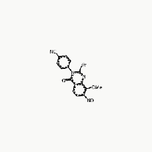 COc1c(N=O)ccc2c(=O)n(-c3ccc(C#N)cc3)c(C(C)C)nc12